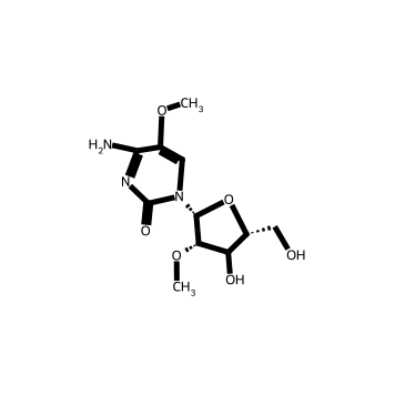 COc1cn([C@@H]2O[C@H](CO)C(O)[C@@H]2OC)c(=O)nc1N